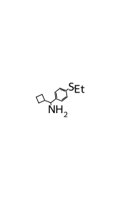 CCSc1ccc(C(N)C2CCC2)cc1